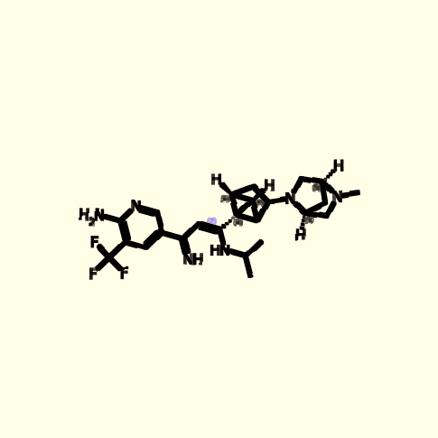 CC(C)N/C(=C\C(=N)c1cnc(N)c(C(F)(F)F)c1)[C@]12C3C(N4C[C@@H]5C[C@H]4CN5C)C[C@@H]1[C@H]32